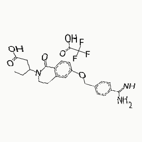 CCC(CC(=O)O)N1CCc2cc(OCc3ccc(C(=N)N)cc3)ccc2C1=O.O=C(O)C(F)(F)F